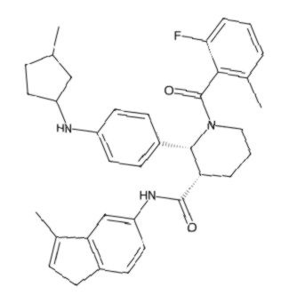 CC1=CCc2ccc(NC(=O)[C@H]3CCCN(C(=O)c4c(C)cccc4F)[C@H]3c3ccc(NC4CCC(C)C4)cc3)cc21